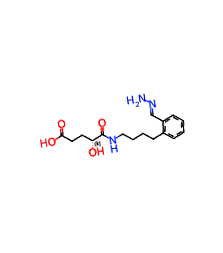 NN=Cc1ccccc1CCCCNC(=O)[C@H](O)CCC(=O)O